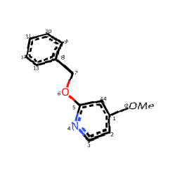 COc1ccnc(OCc2ccccc2)c1